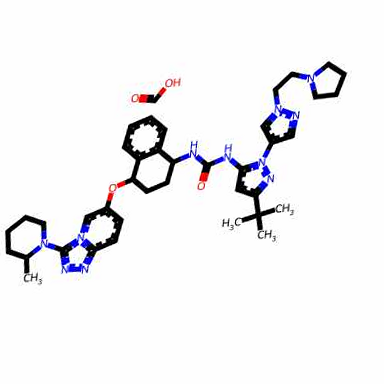 CC1CCCCN1c1nnc2ccc(OC3CCC(NC(=O)Nc4cc(C(C)(C)C)nn4-c4cnn(CCN5CCCC5)c4)c4ccccc43)cn12.O=CO